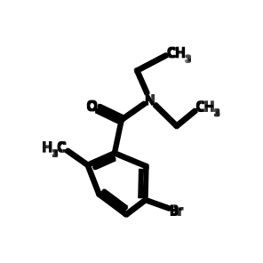 CCN(CC)C(=O)c1cc(Br)ccc1C